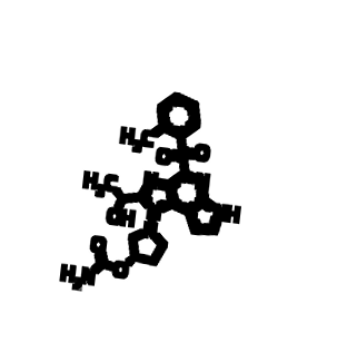 Cc1ccccc1S(=O)(=O)c1nc2[nH]ccc2c2c1nc([C@H](C)O)n2N1CC[C@@H](OC(N)=O)C1